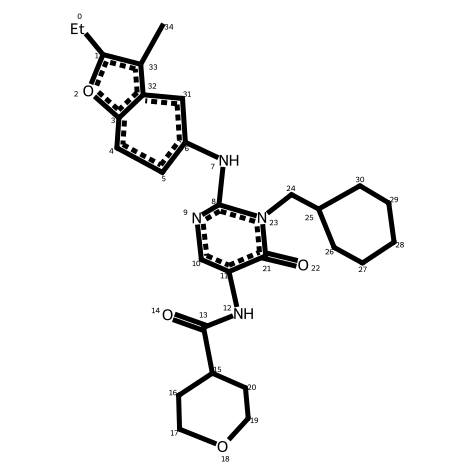 CCc1oc2ccc(Nc3ncc(NC(=O)C4CCOCC4)c(=O)n3CC3CCCCC3)cc2c1C